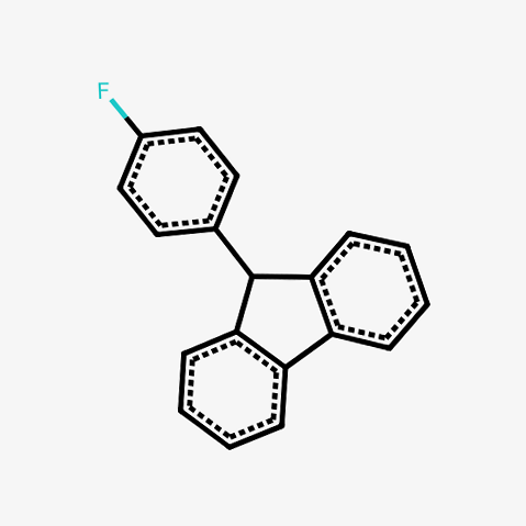 Fc1ccc(C2c3ccccc3-c3ccccc32)cc1